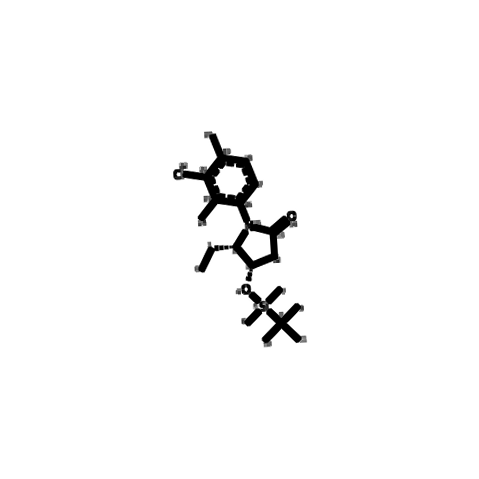 CC[C@H]1[C@@H](O[Si](C)(C)C(C)(C)C)CC(=O)N1c1ccc(C)c(Cl)c1C